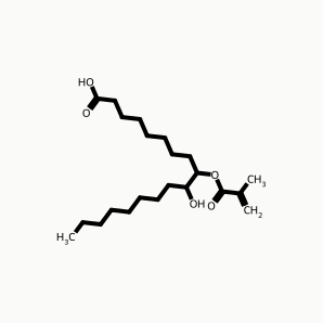 C=C(C)C(=O)OC(CCCCCCCC(=O)O)C(O)CCCCCCCC